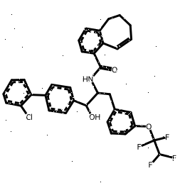 O=C(NC(Cc1cccc(OC(F)(F)C(F)F)c1)C(O)c1ccc(-c2ccccc2Cl)cc1)c1cccc2c1C=CCCC2